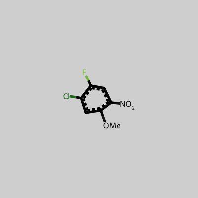 COc1cc(Cl)c(F)cc1[N+](=O)[O-]